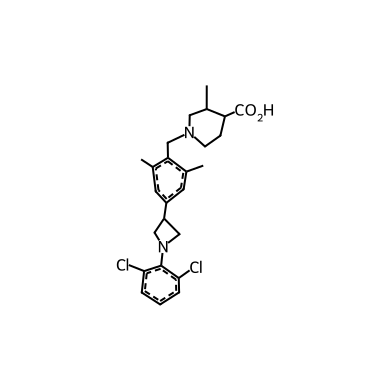 Cc1cc(C2CN(c3c(Cl)cccc3Cl)C2)cc(C)c1CN1CCC(C(=O)O)C(C)C1